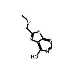 COCc1nc2c(O)ncnc2s1